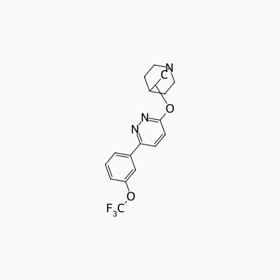 FC(F)(F)Oc1cccc(-c2ccc(OC3CN4CCC3CC4)nn2)c1